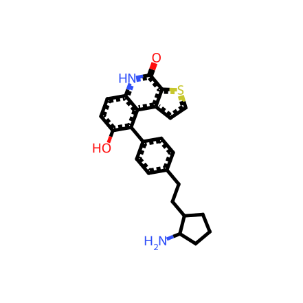 NC1CCCC1CCc1ccc(-c2c(O)ccc3[nH]c(=O)c4sccc4c23)cc1